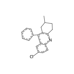 CC1CCc2nc3ccc(Cl)cc3c(-c3ccccc3)c2C1